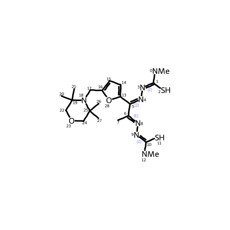 CN/C(S)=N/N=C(/C(C)=N/N=C(\S)NC)c1ccc(CN2C(C)(C)COCC2(C)C)o1